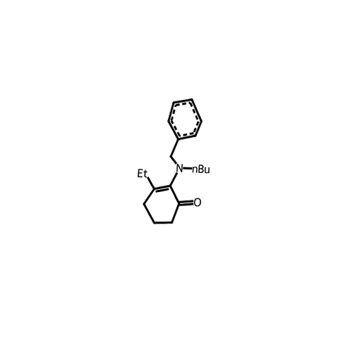 CCCCN(Cc1ccccc1)C1=C(CC)CCCC1=O